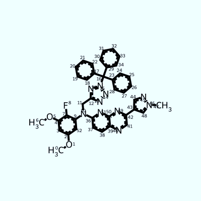 COc1cc(OC)c(F)c(N(Cc2nnn(C(c3ccccc3)(c3ccccc3)c3ccccc3)n2)c2ccc3ncc(-c4cnn(C)c4)nc3n2)c1